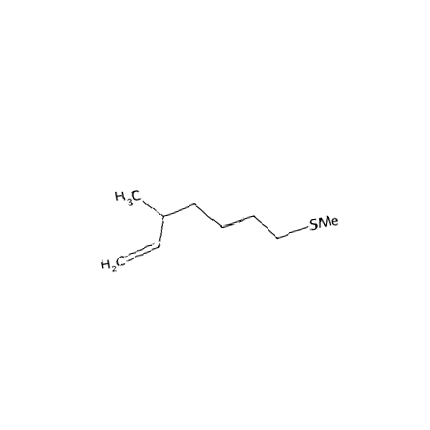 C=CC(C)CCCCSC